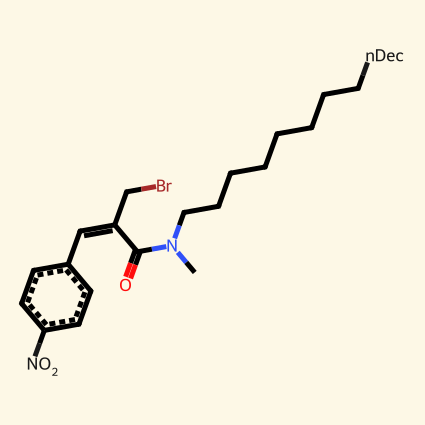 CCCCCCCCCCCCCCCCCCN(C)C(=O)C(=Cc1ccc([N+](=O)[O-])cc1)CBr